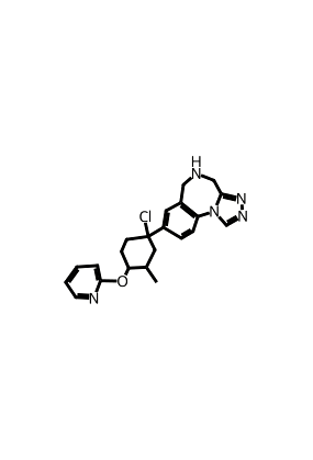 CC1CC(Cl)(c2ccc3c(c2)CNCc2nncn2-3)CCC1Oc1ccccn1